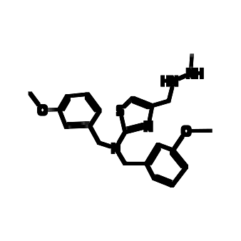 CNNCc1csc(N(Cc2cccc(OC)c2)Cc2cccc(OC)c2)n1